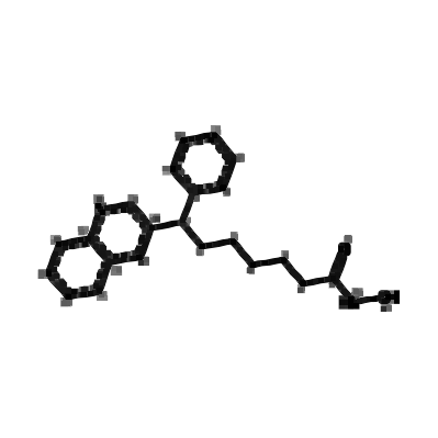 O=C(CCCCCC(c1ccccc1)c1cnc2ccccc2c1)NO